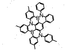 Cc1ccc(N2c3cc(C)ccc3B3c4ccc(C)cc4N4c5ccc(C)cc5B5c6c(cc2c3c64)-c2ccccc2N5c2ccccc2)cc1